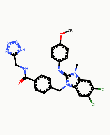 Cn1c(=Nc2ccc(OC(F)(F)F)cc2)n(Cc2ccc(C(=O)NCc3nnn[nH]3)cc2)c2cc(Cl)c(Cl)cc21